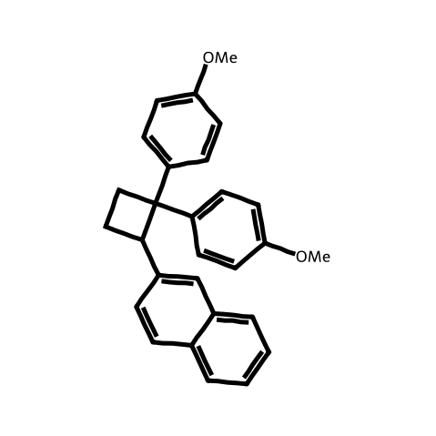 COc1ccc(C2(c3ccc(OC)cc3)CCC2c2ccc3ccccc3c2)cc1